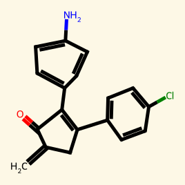 C=C1CC(c2ccc(Cl)cc2)=C(c2ccc(N)cc2)C1=O